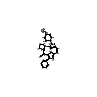 O=C(c1c(-c2ccccc2)nc2ccccn12)N1CCC[C@H]1CNc1ccc(C(F)(F)F)cn1